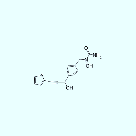 NC(=O)N(O)Cc1ccc(C(O)C#Cc2cccs2)cc1